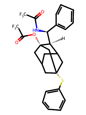 O=C(N[C@@H](c1ccccc1)[C@H]1C2CC3C[C@](Sc4ccccc4)(C2)C[C@@]1(OC(=O)C(F)(F)F)C3)C(F)(F)F